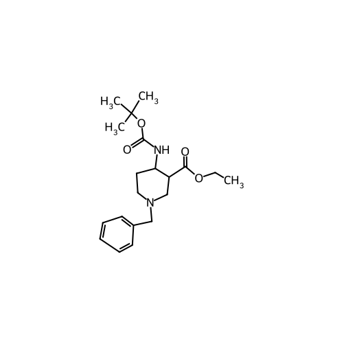 CCOC(=O)C1CN(Cc2ccccc2)CCC1NC(=O)OC(C)(C)C